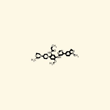 C=CC(=O)Nc1cc(Nc2cc(-c3ccc4c(cnn4C)c3)ncn2)c(OC)cc1N1CCC(N2CCO[C@H](C)C2)CC1